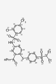 CCCC(=O)c1nc(NS(=O)(=O)c2ccc(C(F)(F)F)cc2Cl)ccc1Sc1ccc(S(=O)(=O)C(CC)CC)cc1